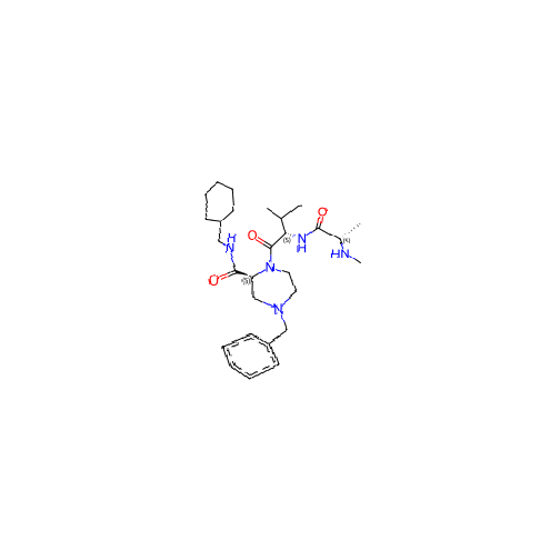 CN[C@@H](C)C(=O)N[C@H](C(=O)N1CCN(Cc2ccccc2)C[C@H]1C(=O)NCC1CCCCC1)C(C)C